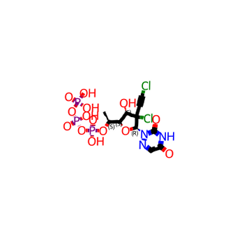 C[C@H](OP(=O)(O)OP(=O)(O)OP(=O)(O)O)[C@H]1O[C@@H](n2ncc(=O)[nH]c2=O)C(Cl)(C#CCl)[C@H]1O